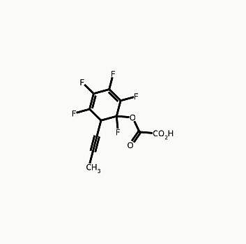 CC#CC1C(F)=C(F)C(F)=C(F)C1(F)OC(=O)C(=O)O